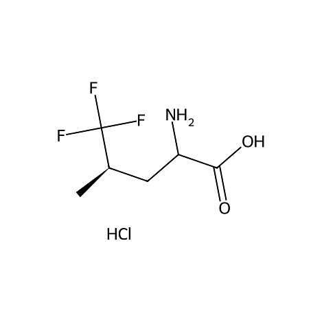 C[C@H](CC(N)C(=O)O)C(F)(F)F.Cl